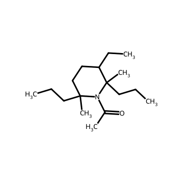 CCCC1(C)CCC(CC)C(C)(CCC)N1C(C)=O